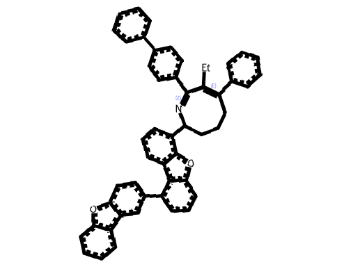 CCC1=C(\c2ccccc2)CCCC(c2cccc3c2oc2cccc(-c4ccc5oc6ccccc6c5c4)c23)/N=C\1c1ccc(-c2ccccc2)cc1